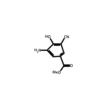 COC(=O)c1cc(N)c(O)c(C#N)c1